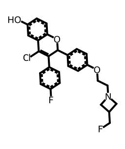 Oc1ccc2c(c1)C(Cl)=C(c1ccc(F)cc1)C(c1ccc(OCCN3CC(CF)C3)cc1)O2